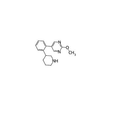 COc1ncc(-c2ccccc2C2CCCNC2)cn1